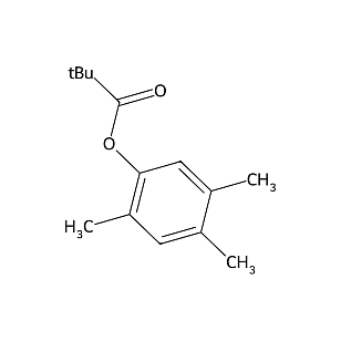 Cc1cc(C)c(OC(=O)C(C)(C)C)cc1C